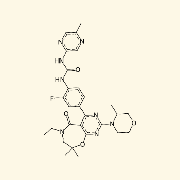 CCN1CC(C)(C)Oc2nc(N3CCOCC3C)nc(-c3ccc(NC(=O)Nc4cnc(C)cn4)c(F)c3)c2C1=O